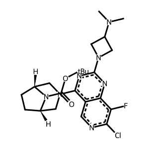 CN(C)C1CN(c2nc(N3C[C@H]4CC[C@@H](C3)N4C(=O)OC(C)(C)C)c3cnc(Cl)c(F)c3n2)C1